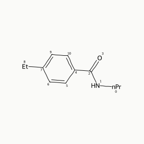 CCCNC(=O)c1ccc(CC)cc1